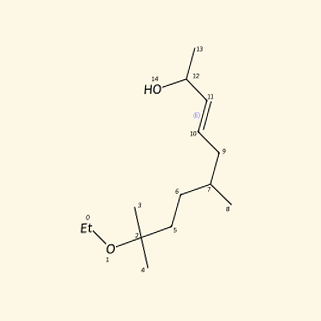 CCOC(C)(C)CCC(C)C/C=C/C(C)O